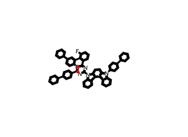 COc1ccc(-c2ccccc2)cc1-c1c(F)cccc1-c1nc(-c2ccc(-c3ccccc3)cc2)nc(-n2c3ccccc3c3c4c5ccccc5n(-c5ccc(-c6ccccc6)cc5)c4ccc32)n1